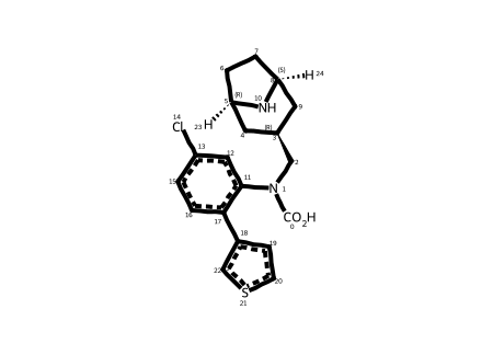 O=C(O)N(C[C@H]1C[C@H]2CC[C@@H](C1)N2)c1cc(Cl)ccc1-c1ccsc1